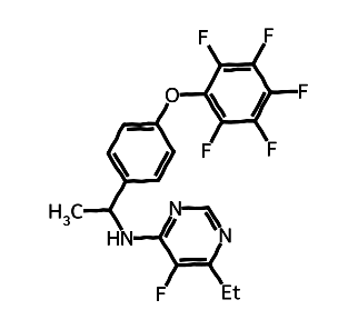 CCc1ncnc(NC(C)c2ccc(Oc3c(F)c(F)c(F)c(F)c3F)cc2)c1F